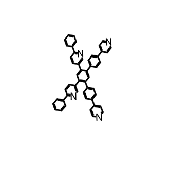 c1ccc(-c2ccc(-c3cc(-c4ccc(-c5ccccc5)nc4)c(-c4ccc(-c5ccncc5)cc4)cc3-c3ccc(-c4ccncc4)cc3)cn2)cc1